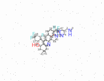 CNCc1cnc(N2CCC(c3nc4c(c(C5CCC(F)(F)CC5)c3[C@@H](F)c3ccc(C(F)(F)F)cc3)[C@@H](O)CC(C)(C)C4)CC2)nc1